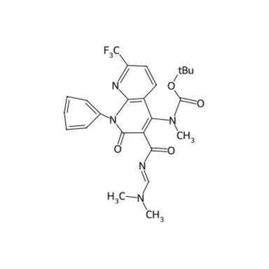 CN(C)C=NC(=O)c1c(N(C)C(=O)OC(C)(C)C)c2ccc(C(F)(F)F)nc2n(-c2ccccc2)c1=O